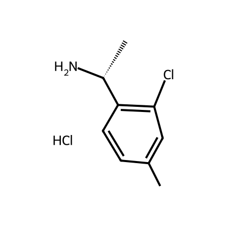 Cc1ccc([C@@H](C)N)c(Cl)c1.Cl